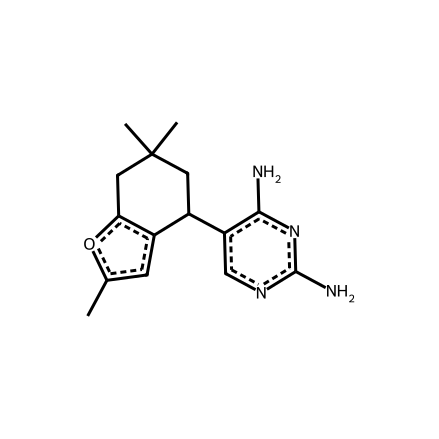 Cc1cc2c(o1)CC(C)(C)CC2c1cnc(N)nc1N